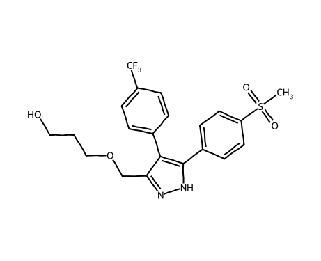 CS(=O)(=O)c1ccc(-c2[nH]nc(COCCCO)c2-c2ccc(C(F)(F)F)cc2)cc1